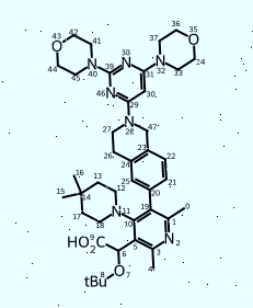 Cc1nc(C)c(C(OC(C)(C)C)C(=O)O)c(N2CCC(C)(C)CC2)c1-c1ccc2c(c1)CCN(c1cc(N3CCOCC3)nc(N3CCOCC3)n1)C2